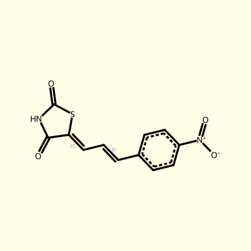 O=C1NC(=O)/C(=C/C=C/c2ccc([N+](=O)[O-])cc2)S1